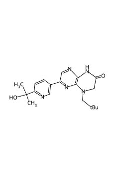 CC(C)(C)CN1CC(=O)Nc2ncc(-c3ccc(C(C)(C)O)nc3)nc21